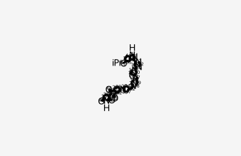 CC(C)Oc1ccc2[nH]nc(-c3cc(N4CCO[C@H](CN5CCN(CC6CCN(c7ccc8c(c7)C(=O)N(C7CCC(=O)NC7=O)C8=O)CC6)CC5)C4)ncn3)c2c1